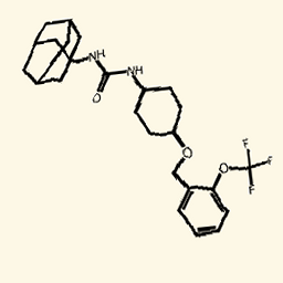 O=C(NC1CCC(OCc2ccccc2OC(F)(F)F)CC1)NC12CC3CC(CC(C3)C1)C2